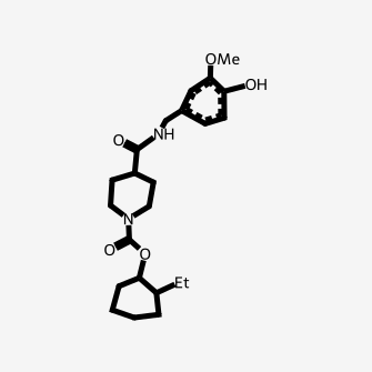 CCC1CCCCC1OC(=O)N1CCC(C(=O)NCc2ccc(O)c(OC)c2)CC1